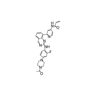 C=CC(=O)Nc1ccnc(-c2cccc3cnc(Nc4ccc(N5CCN(C(C)=O)CC5)cc4F)nc23)c1